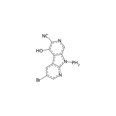 N#Cc1ncc2c(c1O)c1cc(Br)cnc1n2P